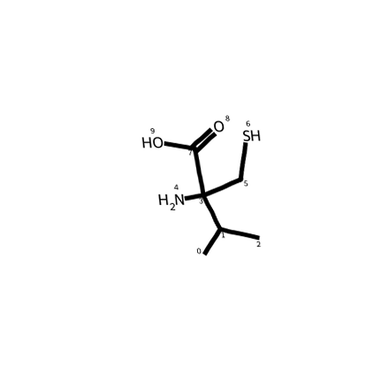 CC(C)C(N)(CS)C(=O)O